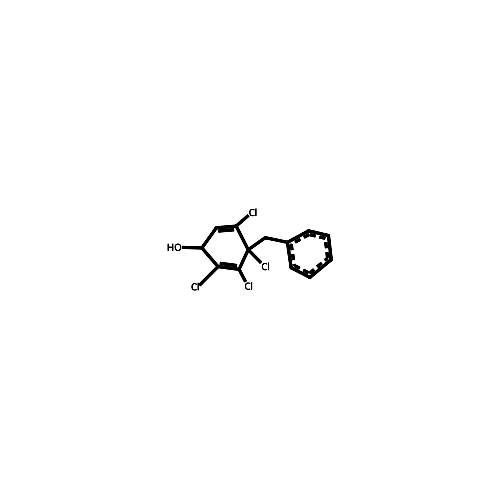 OC1C=C(Cl)C(Cl)(Cc2ccccc2)C(Cl)=C1Cl